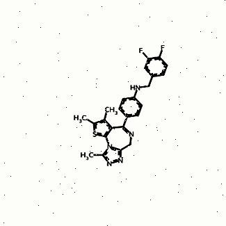 Cc1sc2c(c1C)C(c1ccc(NCc3ccc(F)c(F)c3)cc1)=NCc1nnc(C)n1-2